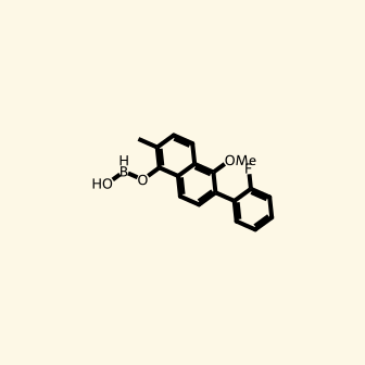 COc1c(-c2ccccc2F)ccc2c(OBO)c(C)ccc12